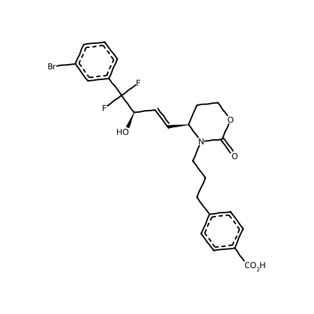 O=C(O)c1ccc(CCCN2C(=O)OCC[C@@H]2/C=C/[C@@H](O)C(F)(F)c2cccc(Br)c2)cc1